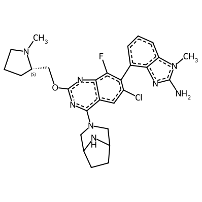 CN1CCC[C@H]1COc1nc(N2CC3CCC(C2)N3)c2cc(Cl)c(-c3cccc4c3nc(N)n4C)c(F)c2n1